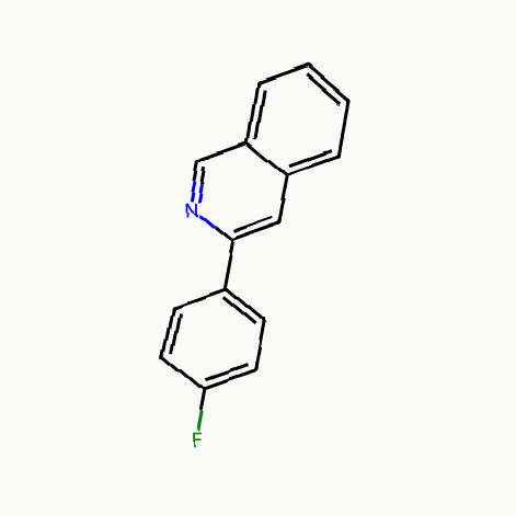 Fc1ccc(-c2cc3ccccc3cn2)cc1